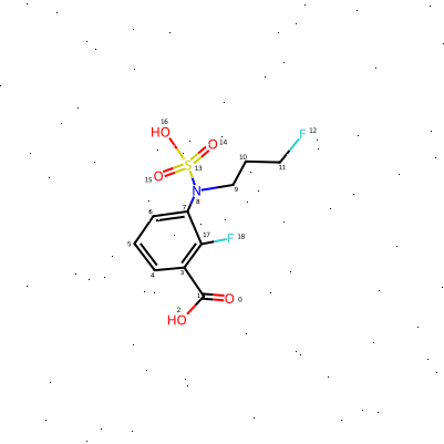 O=C(O)c1cccc(N(CCCF)S(=O)(=O)O)c1F